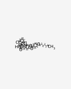 CCCCCCCOc1ccc(C(=O)Oc2ccc(C[C@H](NC(=O)c3c(Cl)cccc3Cl)C(=O)O)cc2)cc1